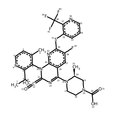 Cc1ccnc(C(C)C)c1N1C(=C=O)N=C(N2CCN(C(=O)O)C[C@@H]2C)c2cc(F)c(Sc3cccnc3C(F)(F)F)nc21